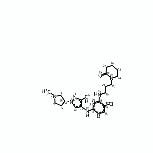 Cc1nn([C@@H]2CCN(C)C2)cc1Nc1ncc(Cl)c(NCCCN2CCCCC2=O)n1